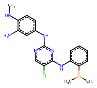 CNc1ccc(Nc2ncc(Cl)c(Nc3ccccc3P(C)C)n2)cc1N